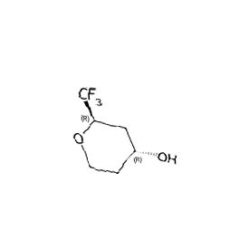 O[C@@H]1CCO[C@@H](C(F)(F)F)C1